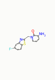 Nc1cccn(Cc2nc3cc(F)ccc3s2)c1=O